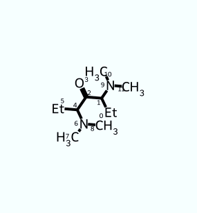 CCC(C(=O)C(CC)N(C)C)N(C)C